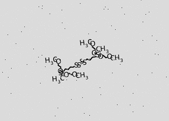 CC[Si](CCCCSSSSCCCC[Si](CC)(OCCOC)OCCOC)(OCCOC)OCCOC